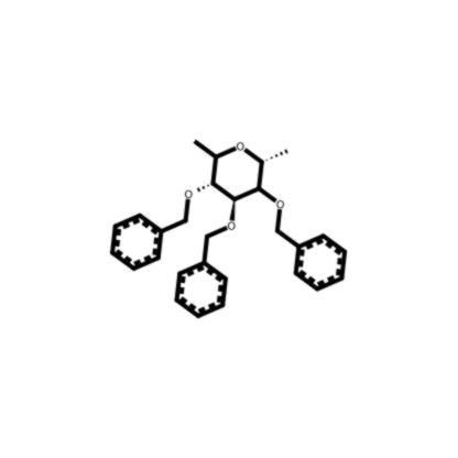 CC1O[C@H](C)C(OCc2ccccc2)[C@@H](OCc2ccccc2)[C@@H]1OCc1ccccc1